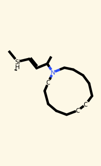 CC(C=C[SiH](C)C)N1CCCCCCCCCCCC1